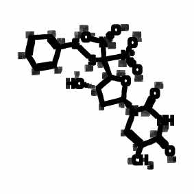 Cc1cn([C@H]2C[C@H](O)[C@@H](C(SSc3ccccc3)([N+](=O)[O-])[N+](=O)[O-])O2)c(=O)[nH]c1=O